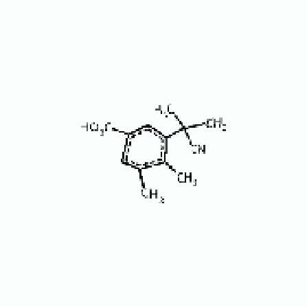 Cc1cc(C(=O)O)cc(C(C)(C)C#N)c1C